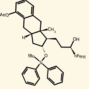 CCCCC[C@H](O)CC[C@H]1[C@H](O[Si](c2ccccc2)(c2ccccc2)C(C)(C)C)C[C@@H]2Cc3c(cccc3OC)C[C@@]21C